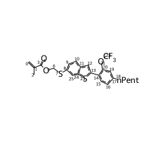 C=C(C)C(=O)OCSc1ccc2cc(-c3ccc(CCCCC)cc3OC(F)(F)F)sc2c1